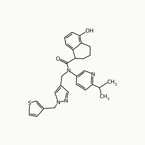 CC(C)c1ccc(N(Cc2cnn(Cc3ccsc3)c2)C(=O)C2CCCc3c(O)cccc32)cn1